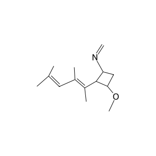 C=NC1CC(OC)C1/C(C)=C(\C)C=C(C)C